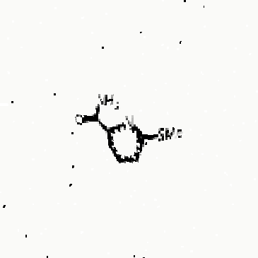 CSc1cccc(C(N)=O)n1